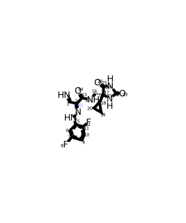 N=C/C(=N\Nc1cc(F)ccc1F)C(=O)NC[C@@]1(C2CC2)NC(=O)NC1=O